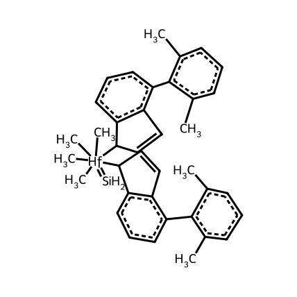 Cc1cccc(C)c1-c1cccc2c1C=C[CH]2[Hf]([CH3])([CH3])([CH3])([CH3])(=[SiH2])[CH]1C=Cc2c(-c3c(C)cccc3C)cccc21